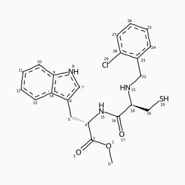 COC(=O)[C@H](Cc1c[nH]c2ccccc12)NC(=O)[C@H](CS)NCc1ccccc1Cl